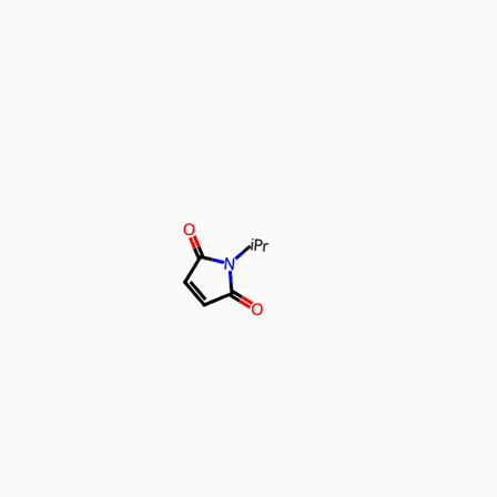 [CH2]C(C)N1C(=O)C=CC1=O